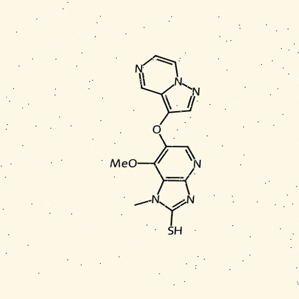 COc1c(Oc2cnn3ccncc23)cnc2nc(S)n(C)c12